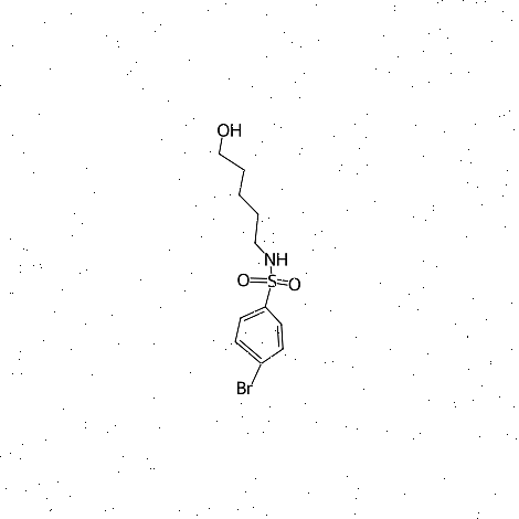 O=S(=O)(NCCCCCO)c1ccc(Br)cc1